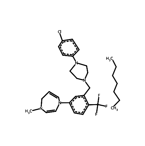 CCCCCCC.CN1C=CN(c2ccc(C(F)(F)F)c(CN3CCN(c4ccc(Cl)cc4)CC3)c2)C=CC1